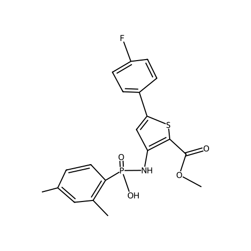 COC(=O)c1sc(-c2ccc(F)cc2)cc1NP(=O)(O)c1ccc(C)cc1C